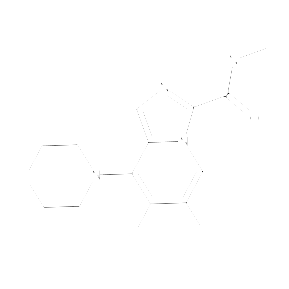 CNC(=O)c1ncc2c(N3CCSCC3)c(O)c(O)cn12